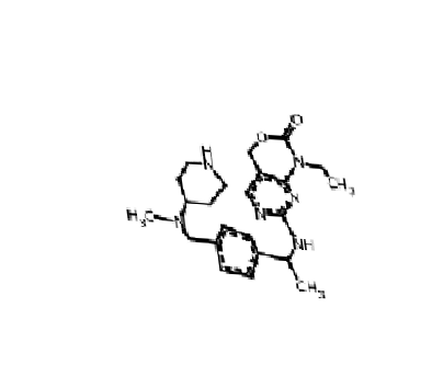 CCN1C(=O)OCc2cnc(NC(C)c3ccc(CN(C)C4CCNCC4)cc3)nc21